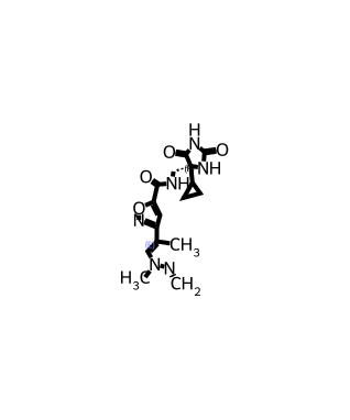 C=NN(C)/C=C(\C)c1cc(C(=O)NC[C@@]2(C3CC3)NC(=O)NC2=O)on1